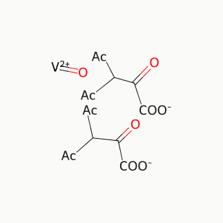 CC(=O)C(C(C)=O)C(=O)C(=O)[O-].CC(=O)C(C(C)=O)C(=O)C(=O)[O-].[O]=[V+2]